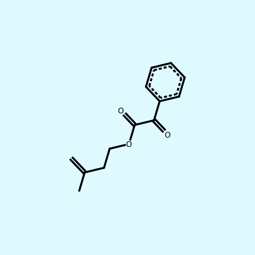 C=C(C)CCOC(=O)C(=O)c1ccccc1